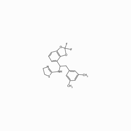 Cc1cc(C)cc(CC(NC2=NCCS2)c2cccc3c2OC(F)(F)O3)c1